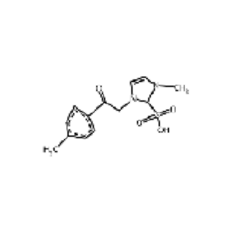 Cc1ccc(C(=O)CN2C=CN(C)C2S(=O)(=O)O)cc1